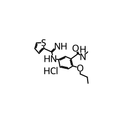 CCCOc1ccc(NC(=N)c2cccs2)cc1C(=O)NC.Cl